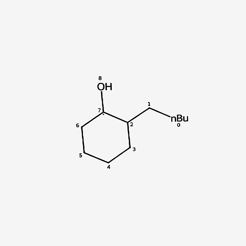 CCCCCC1CCCC[C]1O